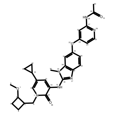 COC1CCC1Cn1cc(C2CC2)cc(Nc2nc3ccc(Oc4ccnc(NC(C)=O)c4)cc3n2C)c1=O